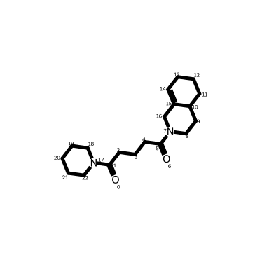 O=C(CCCC(=O)N1CCC2CCCC=C2C1)N1CCCCC1